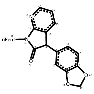 CCCCCN1C(=O)C(c2ccc3c(c2)OCO3)c2cccnc21